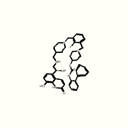 O=C(Nc1ccccc1-c1ccccc1)OC1CCN(Cc2cccc(CN3CCC(CNC[C@@H](O)c4ccc(O)c5[nH]c(=O)ccc45)CC3)c2F)CC1